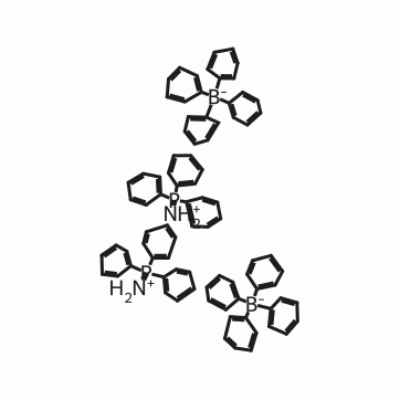 [NH2+]=P(c1ccccc1)(c1ccccc1)c1ccccc1.[NH2+]=P(c1ccccc1)(c1ccccc1)c1ccccc1.c1ccc([B-](c2ccccc2)(c2ccccc2)c2ccccc2)cc1.c1ccc([B-](c2ccccc2)(c2ccccc2)c2ccccc2)cc1